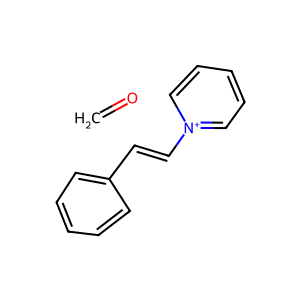 C(=C[n+]1ccccc1)c1ccccc1.C=O